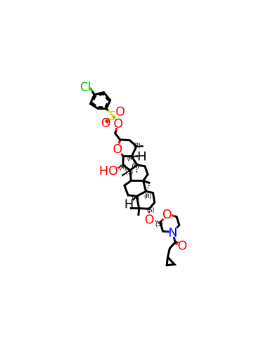 C[C@@H]1CC(COS(=O)(=O)c2ccc(Cl)cc2)OC2[C@H]1[C@@]1(C)CCC34C[C@@]35CC[C@H](O[C@H]3CN(C(=O)CC6CC6)CCO3)C(C)(C)[C@@H]5CCC4[C@]1(C)[C@H]2O